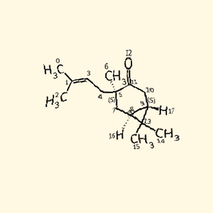 CC(C)=CC[C@]1(C)C[C@H]2[C@H](CC1=O)C2(C)C